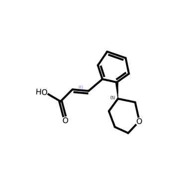 O=C(O)/C=C/c1ccccc1[C@@H]1CCCOC1